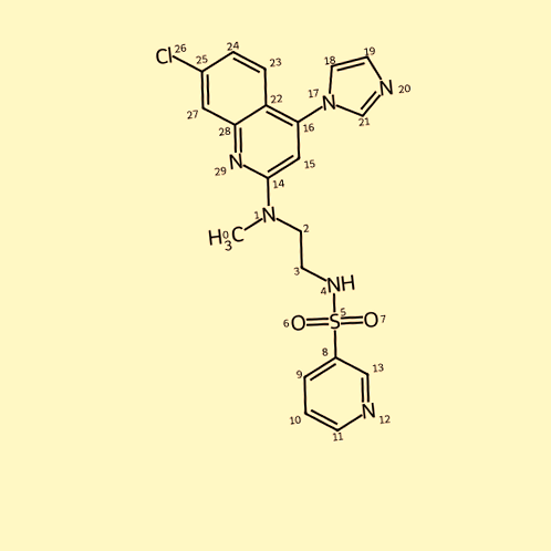 CN(CCNS(=O)(=O)c1cccnc1)c1cc(-n2ccnc2)c2ccc(Cl)cc2n1